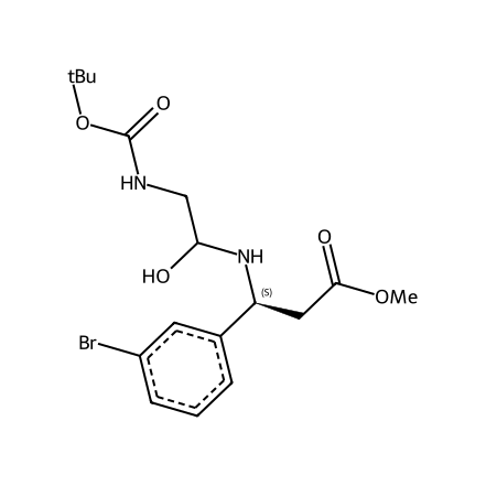 COC(=O)C[C@H](NC(O)CNC(=O)OC(C)(C)C)c1cccc(Br)c1